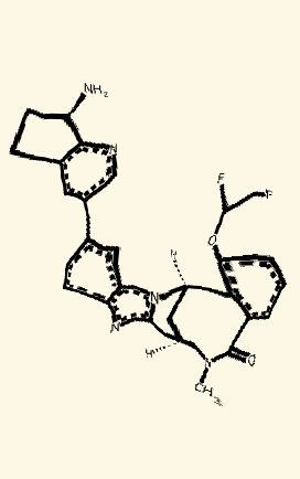 CN1C(=O)c2cccc(OC(F)F)c2[C@H]2C[C@@H]1c1nc3ccc(-c4cnc5c(c4)CC[C@H]5N)cc3n12